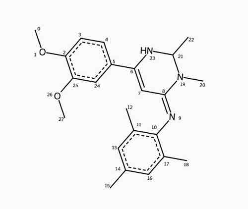 COc1ccc(C2=CC(=Nc3c(C)cc(C)cc3C)N(C)C(C)N2)cc1OC